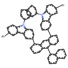 CC(C)c1ccc2c(c1)c1cc(-c3cccc4c(-c5cccc6ccccc56)c5cccc(-c6ccc7c(c6)c6cc(C(C)C)ccc6n7-c6ccccc6)c5cc34)ccc1n2-c1ccccc1